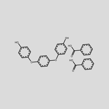 O=C(O)c1ccccc1.O=C(O)c1ccccc1.Oc1ccc(Oc2ccc(Oc3ccc(O)cc3)cc2)cc1